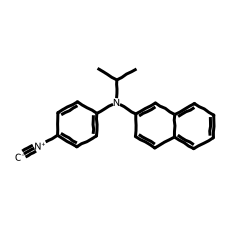 [C-]#[N+]c1ccc(N(c2ccc3ccccc3c2)C(C)C)cc1